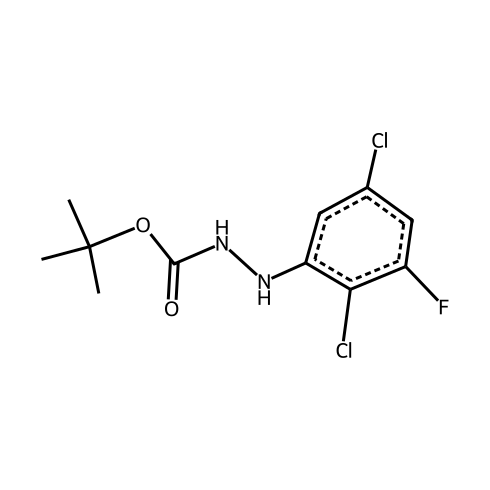 CC(C)(C)OC(=O)NNc1cc(Cl)cc(F)c1Cl